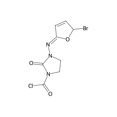 O=C(Cl)N1CCN(N=C2C=CC(Br)O2)C1=O